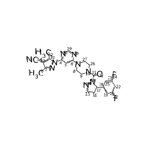 Cc1nn(-c2cc(N3CCN(C(=O)N4N=CCC4c4cc(F)cc(F)c4)CC3)ncn2)c(C)c1C#N